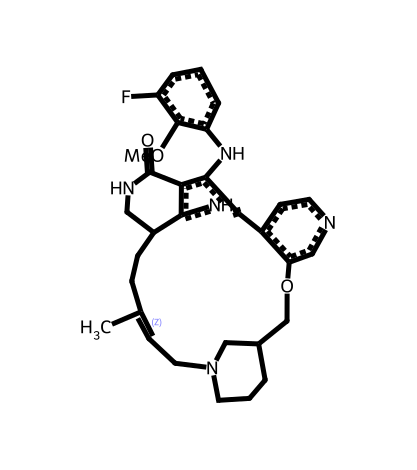 COc1c(F)cccc1Nc1c2[nH]c3c1C(=O)NCC3CC/C(C)=C\CN1CCCC(COc3cnccc3-2)C1